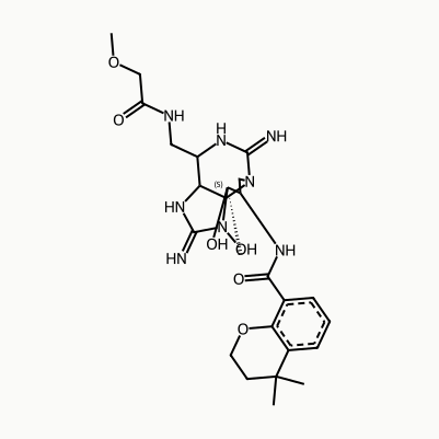 COCC(=O)NCC1NC(=N)N2CC(NC(=O)c3cccc4c3OCCC4(C)C)[C@](C)(O)C23C1NC(=N)N3O